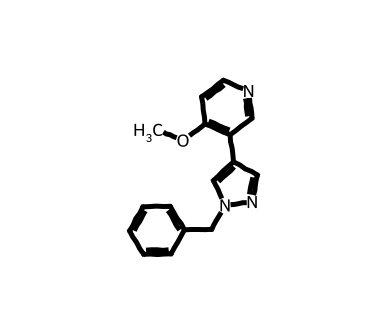 COc1ccncc1-c1cnn(Cc2ccccc2)c1